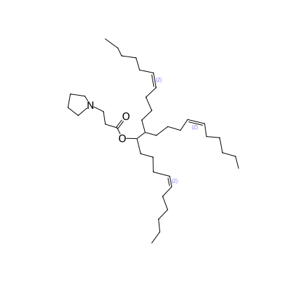 CCCCC/C=C\CCCC(CCC/C=C\CCCCC)C(CCC/C=C\CCCCC)OC(=O)CCN1CCCC1